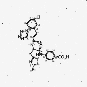 CCn1ccc(CC(NC(=O)C=Cc2cc(Cl)ccc2-n2cnnn2)C(=O)Nc2ccc(C(=O)O)cc2)n1